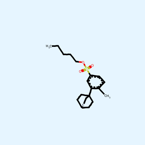 CCCCCOS(=O)(=O)c1ccc(C)c(C23CCC(CC2)CC3)c1